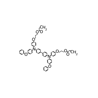 C=CC(=O)OCCCOc1ccc(N(c2ccc(Oc3ccccc3)cc2)c2ccc(-c3ccc(N(c4ccc(OCCCOC(=O)C=C)cc4)c4ccc(Oc5ccccc5)cc4)cc3)cc2)cc1